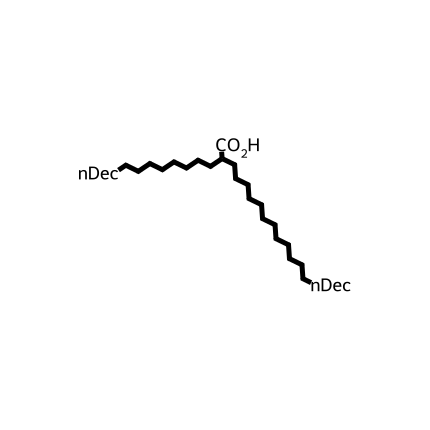 CCCCCCCCCCCCCCCCCCCCCCC(CCCCCCCCCCCCCCCCCC)C(=O)O